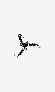 CCCCCCOC(=O)c1cc(C(=O)OCCCCCC)cc(C(=O)OCCCCCC)c1